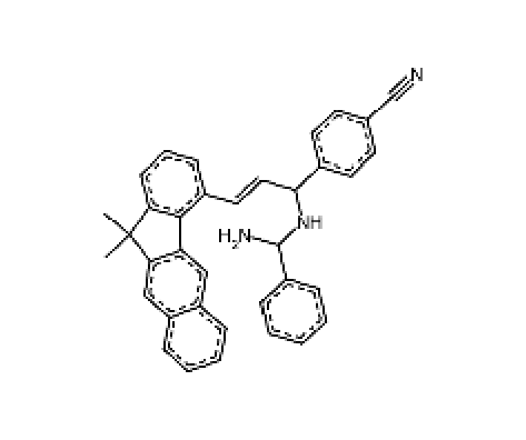 CC1(C)c2cc3ccccc3cc2-c2c(/C=C/C(NC(N)c3ccccc3)c3ccc(C#N)cc3)cccc21